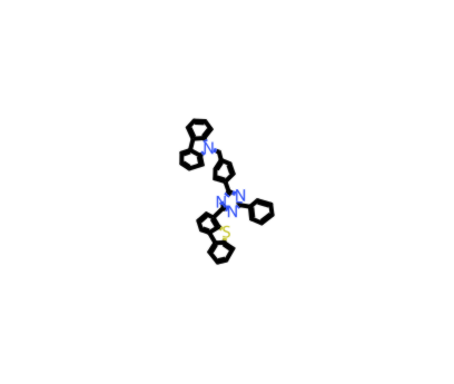 c1ccc(-c2nc(-c3ccc(Cn4c5ccccc5c5ccccc54)cc3)nc(-c3cccc4c3sc3ccccc34)n2)cc1